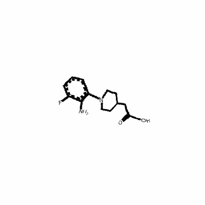 Nc1c(F)cccc1N1CCC(CC(=O)O)CC1